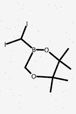 CC1(C)OCB(C(I)I)OC1(C)C